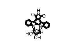 C[C@]12O[C@H](C[C@@H](O)[C@H]1O)n1c3ccccc3c3c4c(c5c6ccccc6n2c5c31)C(=O)NC4=O